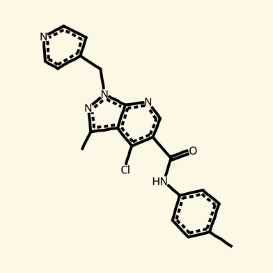 Cc1ccc(NC(=O)c2cnc3c(c(C)nn3Cc3ccncc3)c2Cl)cc1